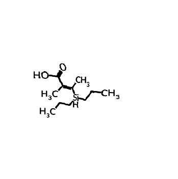 CCC[SiH](CCC)C(C)=C(C)C(=O)O